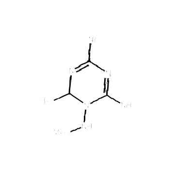 CCCCC1N=C(N)N=C(N)N1NOC